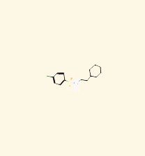 O=S(=O)(NCCC1CC[CH]CC1)c1ccc(Cl)cc1